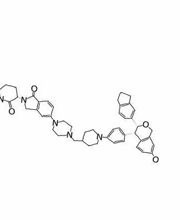 O=C1CC[C@H](N2Cc3cc(N4CCN(CC5CCN(c6ccc([C@H]7c8ccc(O)cc8CO[C@H]7c7ccc8c(c7)CCC8)cc6)CC5)CC4)ccc3C2=O)C(=O)N1